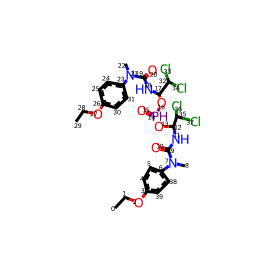 CCOc1ccc(N(C)C(=O)NC(O[PH](=O)OC(NC(=O)N(C)c2ccc(OCC)cc2)C(Cl)Cl)C(Cl)Cl)cc1